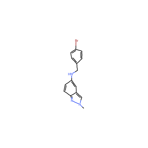 Cn1cc2cc(NCc3ccc(Br)cc3)ccc2n1